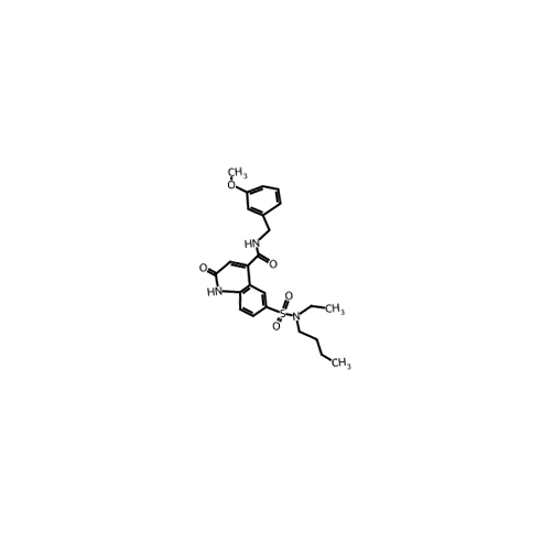 CCCCN(CC)S(=O)(=O)c1ccc2[nH]c(=O)cc(C(=O)NCc3cccc(OC)c3)c2c1